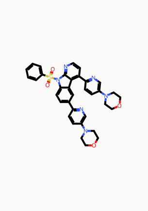 O=S(=O)(c1ccccc1)n1c2ccc(-c3ccc(N4CCOCC4)cn3)cc2c2c(-c3ccc(N4CCOCC4)cn3)ccnc21